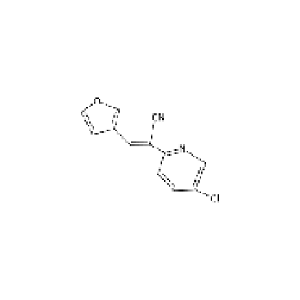 N#C/C(=C\c1ccoc1)c1ccc(Cl)cn1